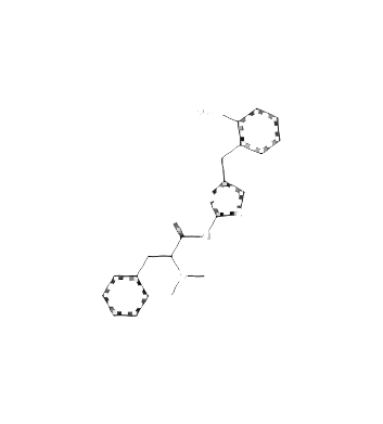 COc1ccccc1Cc1cnc(NC(=O)C(Cc2ccccc2)N(C)C)s1